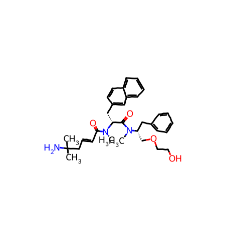 CN(C(=O)[C@@H](Cc1ccc2ccccc2c1)N(C)C(=O)C=CCC(C)(C)N)[C@@H](COCCO)Cc1ccccc1